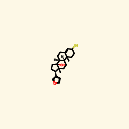 C[C@]12CC[C@H](S)C=C1CC[C@@H]1[C@@H]2CC[C@]2(C)[C@@H](c3ccoc3)CC[C@]12O